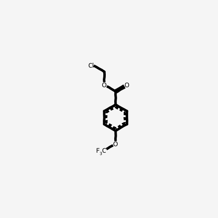 O=C(OCCl)c1ccc(OC(F)(F)F)cc1